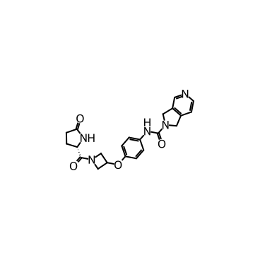 O=C1CC[C@@H](C(=O)N2CC(Oc3ccc(NC(=O)N4Cc5ccncc5C4)cc3)C2)N1